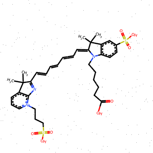 CC1(C)C(/C=C/C=C/C=C/C=C2\N(CCCCCC(=O)O)c3ccc(S(=O)(=O)O)cc3C2(C)C)=Nc2c1ccc[n+]2CCCS(=O)(=O)O